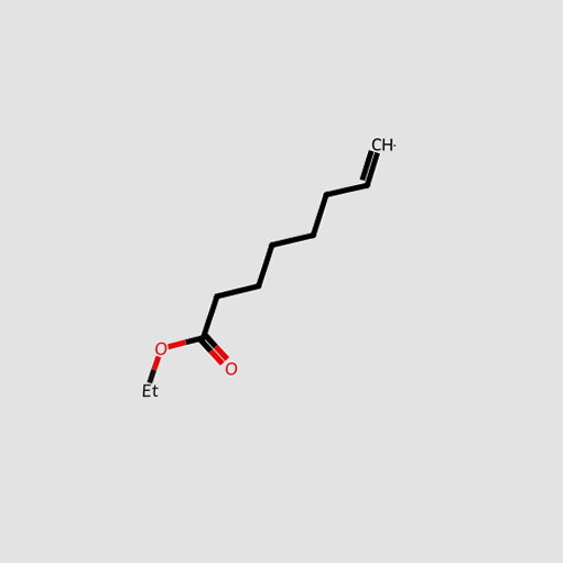 [CH]=CCCCCCC(=O)OCC